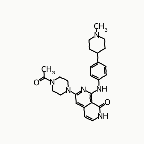 CC(=O)N1CCN(c2cc3cc[nH]c(=O)c3c(Nc3ccc(C4CCN(C)CC4)cc3)n2)CC1